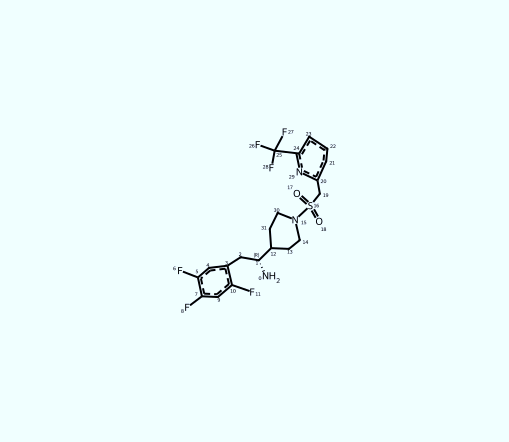 N[C@H](Cc1cc(F)c(F)cc1F)C1CCN(S(=O)(=O)Cc2cccc(C(F)(F)F)n2)CC1